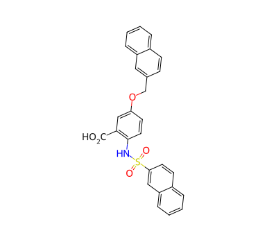 O=C(O)c1cc(OCc2ccc3ccccc3c2)ccc1NS(=O)(=O)c1ccc2ccccc2c1